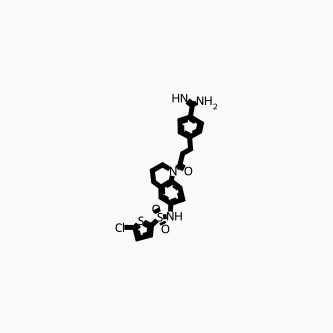 N=C(N)c1ccc(CCC(=O)N2CCCc3cc(NS(=O)(=O)c4ccc(Cl)s4)ccc32)cc1